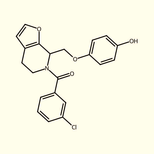 O=C(c1cccc(Cl)c1)N1CCc2ccoc2C1COc1ccc(O)cc1